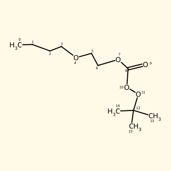 CCCCOCCOC(=O)OOC(C)(C)C